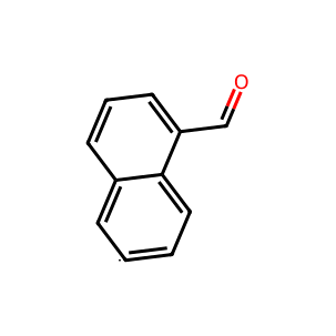 O=Cc1cccc2c[c]ccc12